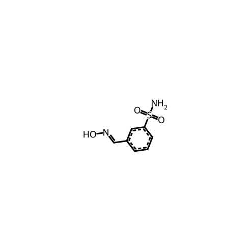 NS(=O)(=O)c1cccc(C=NO)c1